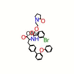 COC(=O)C(Cc1ccc(-c2ccccc2Oc2ccccc2)cc1)NC(=O)c1cc(Br)ccc1OCCN1CCCC1=O